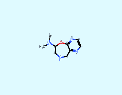 CC(C)N(C)C1CNCc2nccnc2O1